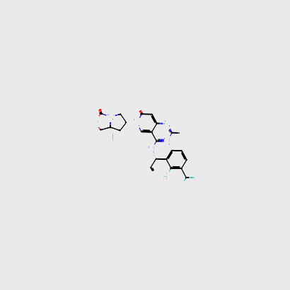 C=C[C@@H](Nc1nc(C)nc2cc(=O)n([C@@H]3C[C@H]4COC(=O)N4C3)cc12)c1cccc(C(F)F)c1F